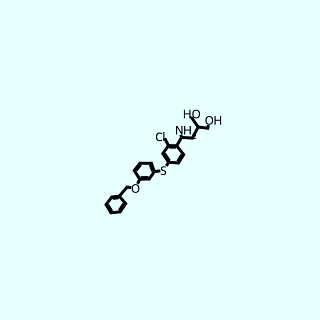 NC(CC(CO)CO)c1ccc(Sc2cccc(OCc3ccccc3)c2)cc1Cl